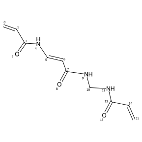 C=CC(=O)NC=CC(=O)NCNC(=O)C=C